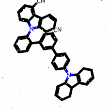 N#Cc1cc(-c2ccc(N3C4=C(C=CCC4)C4CCC=CC43)cc2)cc(-c2ccccc2-n2c3c(c4c(C#N)cccc42)C=CCC3)c1